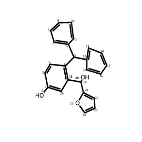 Oc1ccc(C(c2ccccc2)c2ccccc2)c(C(O)c2ccco2)c1